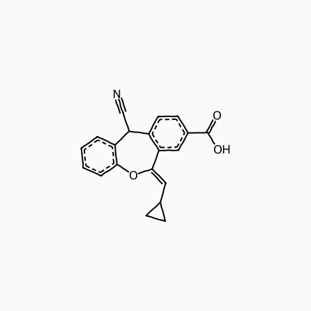 N#CC1c2ccccc2OC(=CC2CC2)c2cc(C(=O)O)ccc21